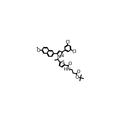 COc1ccc2cc(-c3cc(-c4cc(Cl)cc(Cl)c4)nn3C(C)c3ccc(C(=O)NCCC(=O)OC(C)(C)C)s3)ccc2c1